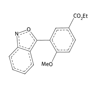 CCOC(=O)c1ccc(OC)c(-c2onc3ccccc23)c1